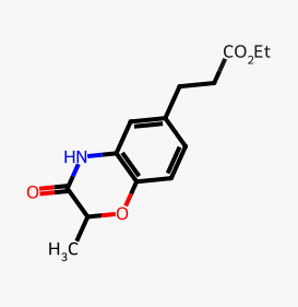 CCOC(=O)CCc1ccc2c(c1)NC(=O)C(C)O2